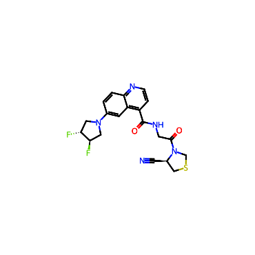 N#C[C@@H]1CSCN1C(=O)CNC(=O)c1ccnc2ccc(N3C[C@@H](F)[C@H](F)C3)cc12